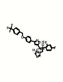 C[C@@H](c1cc(-c2ccc(OCc3ccc(C(F)(F)F)cc3)cc2)no1)[C@](O)(Cn1cncn1)c1ccc(F)cc1F